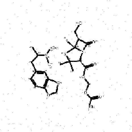 CC(C)(C)C(=O)OCOC(=O)[C@@H]1N2C(=O)[C@H](CCl)[C@H]2SC1(C)C.CCCCCCCC[S+]([O-])C(C)Cc1ccc2c(c1)OCO2